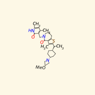 COC1CN([C@H]2CC[C@H](C(C)c3sc4c(c3C)C(=O)N(Cc3c(C)cc(C)[nH]c3=O)CCC4)CC2)C1